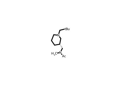 CC(=O)N(C)C[C@@H]1CCCN(CC(C)(C)C)C1